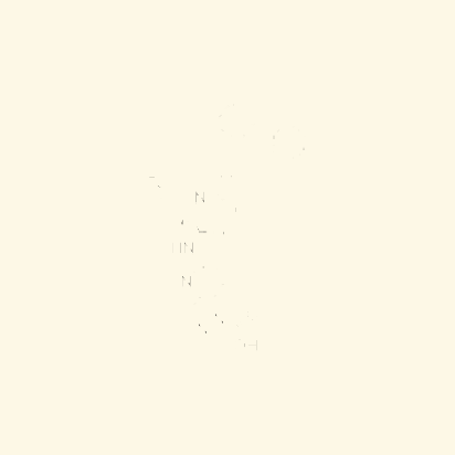 O=C(Nc1ccc2c(cnn2C(=O)O)n1)[C@H]1C[C@@H](F)CN1C(=O)OCC1c2ccccc2-c2ccccc21